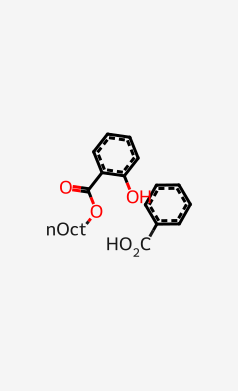 CCCCCCCCOC(=O)c1ccccc1O.O=C(O)c1ccccc1